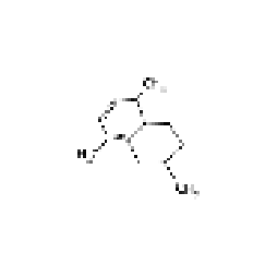 CC1=C2CC(C)CCC2C(C)C=C1